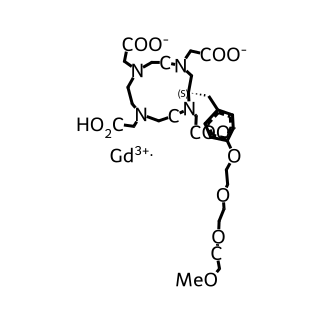 COCCOCCOCCOc1ccc(C[C@H]2CN(CC(=O)[O-])CCN(CC(=O)[O-])CCN(CC(=O)O)CCN2CC(=O)[O-])cc1.[Gd+3]